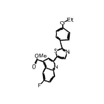 CCOc1ccc(-c2ncc(-c3cc(C(=O)OC)c4cc(F)ccc4n3)s2)cc1